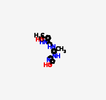 Cc1cc(Nc2ccnc3c2CCC3O)ccc1NCCc1c[nH]c2c(C(C)O)cccc12